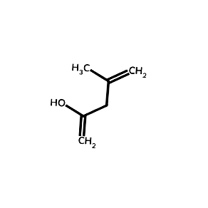 C=C(C)CC(=C)O